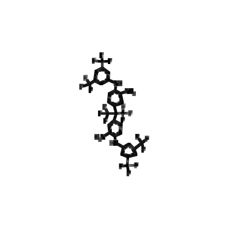 Nc1cc(C(c2ccc(Nc3cc(C(F)(F)F)cc(C(F)(F)F)c3)c(N)c2)(C(F)(F)F)C(F)(F)F)ccc1Nc1cc(C(F)(F)F)cc(C(F)(F)F)c1